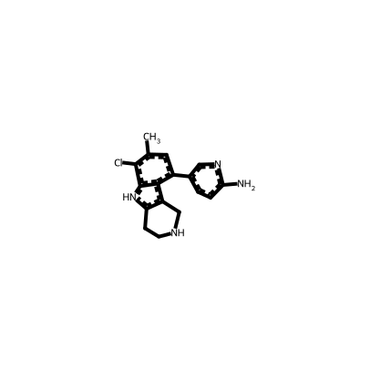 Cc1cc(-c2ccc(N)nc2)c2c3c([nH]c2c1Cl)CCNC3